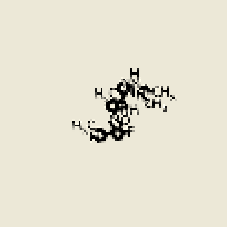 Cc1cc(-c2ccc(F)c3c2CN(c2cccc4c(-c5nc(Nc6cc(C)n(C)n6)ncc5C)c[nH]c24)C3=O)ccn1